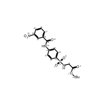 CC(C)(C)OC(=O)CNS(=O)(=O)c1ccc(NC(=O)c2cccc([N+](=O)[O-])c2)cc1